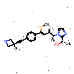 C=C(/C=C(\PC)c1ccc(C#CC2(C)CNC2)cc1)C(C)n1ccnc1[C@H](C)O